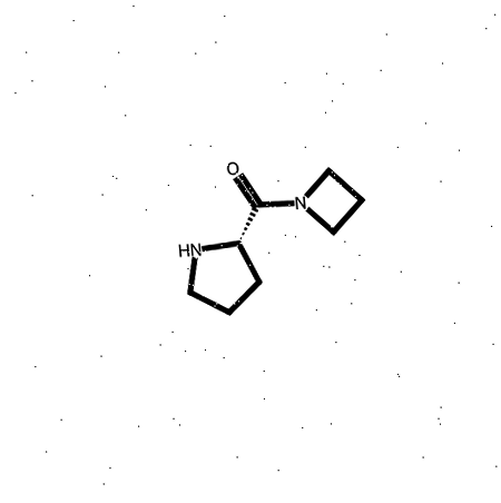 O=C([C@@H]1CCCN1)N1CCC1